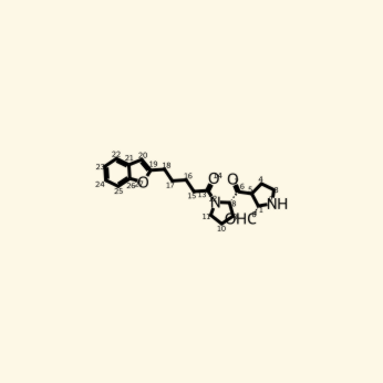 O=C[C@H]1NCCC1C(=O)[C@@H]1CCCN1C(=O)CCCCc1cc2ccccc2o1